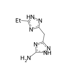 CCc1nc(Cc2n[nH]c(N)n2)n[nH]1